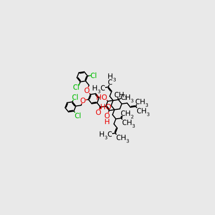 C=C(C)C(CC=C(C)C)CC12CC(CC=C(C)C)C(C)(C)C(CC=C(C)C)(C(O)C(C(=O)c3ccc(OCc4c(Cl)cccc4Cl)c(OCc4c(Cl)cccc4Cl)c3)=C1O)C2O